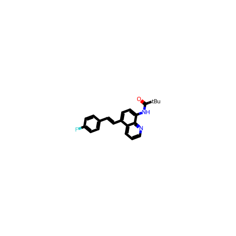 CC(C)(C)C(=O)Nc1ccc(C=Cc2ccc(F)cc2)c2cccnc12